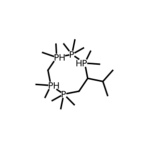 CC(C)C1CP(C)(C)(C)[PH](C)(C)C[PH](C)(C)P(C)(C)(C)[PH]1(C)C